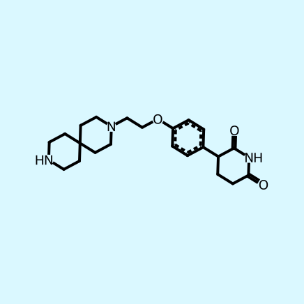 O=C1CCC(c2ccc(OCCN3CCC4(CCNCC4)CC3)cc2)C(=O)N1